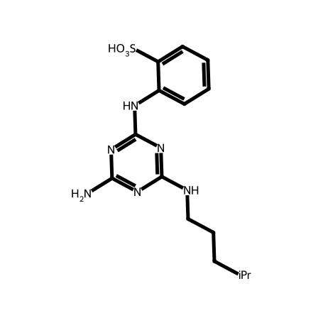 CC(C)CCCNc1nc(N)nc(Nc2ccccc2S(=O)(=O)O)n1